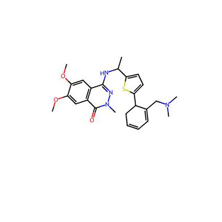 COc1cc2c(NC(C)c3ccc(C4CC=CC=C4CN(C)C)s3)nn(C)c(=O)c2cc1OC